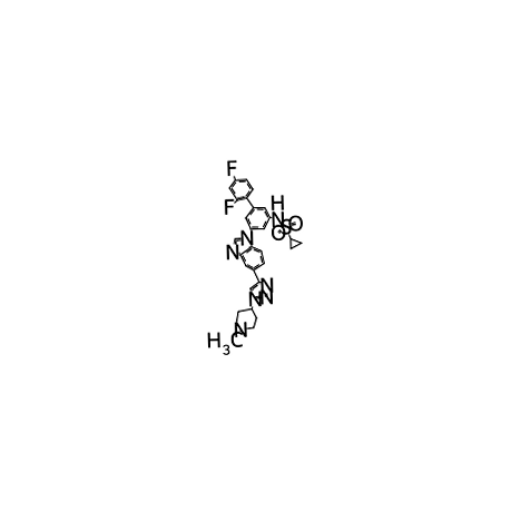 CN1CCC(n2cc(-c3ccc4c(c3)ncn4-c3cc(NS(=O)(=O)C4CC4)cc(-c4ccc(F)cc4F)c3)nn2)CC1